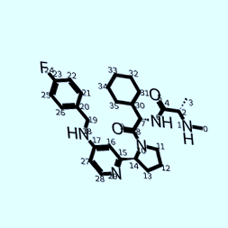 CN[C@@H](C)C(=O)N[C@H](C(=O)N1CCC[C@H]1c1cc(NCc2ccc(F)cc2)ccn1)C1CCCCC1